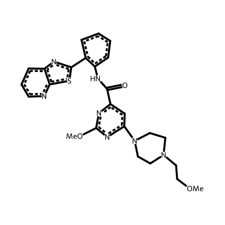 COCCN1CCN(c2cc(C(=O)Nc3ccccc3-c3nc4cccnc4s3)nc(OC)n2)CC1